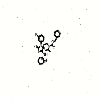 CC1C[C@]2(CCN1C(=O)OCc1ccccc1)C(N[C@@H]1CCCC[C@H]1F)=NC(=O)N2c1cccc(F)c1